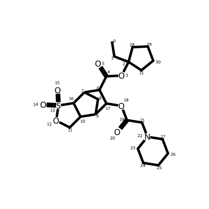 CCC1(OC(=O)C2C3CC(C4COS(=O)(=O)C43)C2OC(=O)CN2CCCCC2)CCCC1